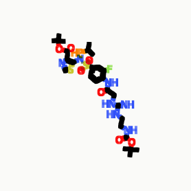 CC(C)PN(c1scnc1C(=O)OC(C)(C)C)S(=O)(=O)c1ccc(NC(=O)CNC(=N)NCCNC(=O)OC(C)(C)C)c(F)c1